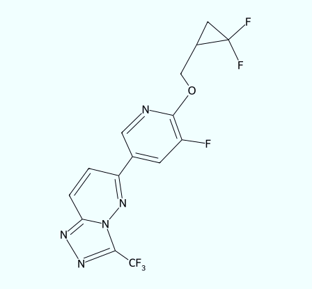 Fc1cc(-c2ccc3nnc(C(F)(F)F)n3n2)cnc1OCC1CC1(F)F